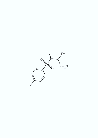 CCC(C(=O)O)N(C)S(=O)(=O)c1ccc(C)cc1